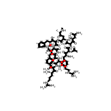 CN[C@@H](C)C(=O)CC(NC(=O)C(NC(=O)C(NC(C)=O)C(=O)[C@@H](N)Cc1ccccc1)C(=O)[C@@H](N)CC(N)=O)C(=O)NC(C(=O)NC(C(=O)NC(CC(=O)[C@H](C)NC)C(=O)NC(C(=O)NC(C(N)=O)C(=O)[C@@H](N)CCCNC(N)N)C(=O)[C@@H](N)CCCNC(N)N)C(=O)[C@@H](N)Cc1ccc(O)cc1)C(=O)[C@@H](N)Cc1ccccc1